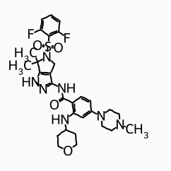 CN1CCN(c2ccc(C(=O)Nc3n[nH]c4c3CN(S(=O)(=O)c3c(F)cccc3F)C4(C)C)c(NC3CCOCC3)c2)CC1